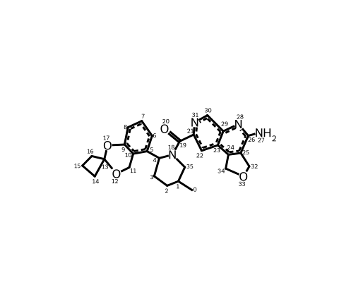 CC1CCC(c2cccc3c2COC2(CCC2)O3)N(C(=O)c2cc3c4c(c(N)nc3cn2)COC4)C1